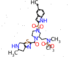 C#Cc1ccc2[nH]c(S(=O)(=O)N3CCN(C(=O)c4nc5c(s4)CNC(C)C5)C(CCN(C)S(=O)(=O)C(F)(F)F)C3)cc2c1